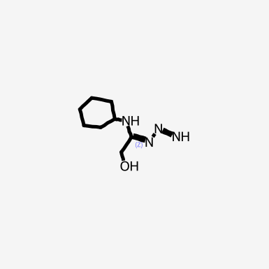 N=N/N=C(/CO)NC1CCCCC1